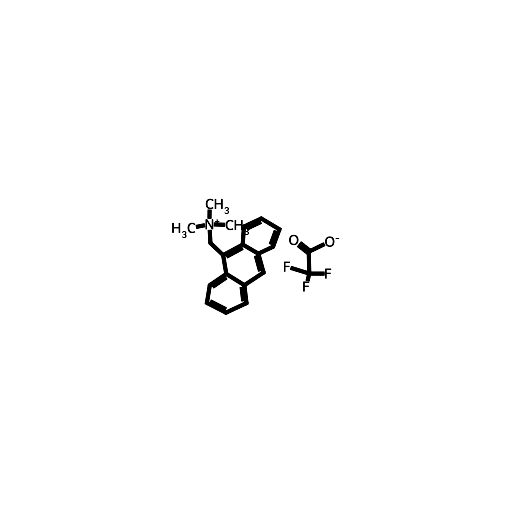 C[N+](C)(C)Cc1c2ccccc2cc2ccccc12.O=C([O-])C(F)(F)F